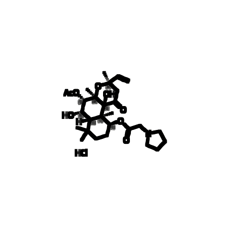 C=C[C@@]1(C)CC(=O)[C@]2(O)[C@@]3(C)[C@@H](OC(=O)CN4CCCC4)CCC(C)(C)[C@@H]3[C@H](O)[C@H](OC(C)=O)[C@@]2(C)O1.Cl